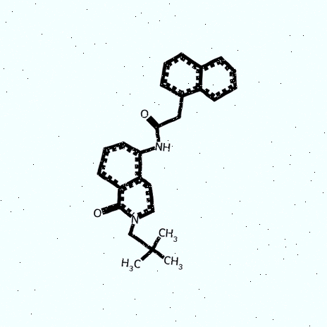 CC(C)(C)Cn1ccc2c(NC(=O)Cc3cccc4ccccc34)cccc2c1=O